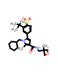 Cc1c(C(=O)NCC2(C)COC2)cc(-c2ccc([SH](=O)=O)c(C(C)(C)C)c2)n1CC1CCCCC1